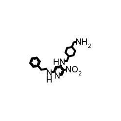 NCC1CCC(CNc2cc(NCCc3ccccc3)ncc2[N+](=O)[O-])CC1